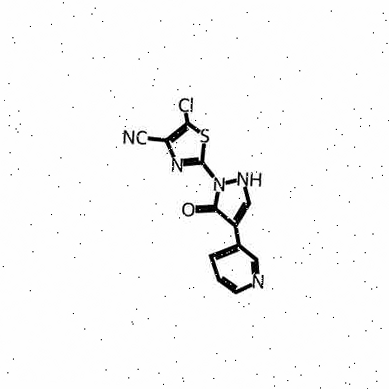 N#Cc1nc(-n2[nH]cc(-c3cccnc3)c2=O)sc1Cl